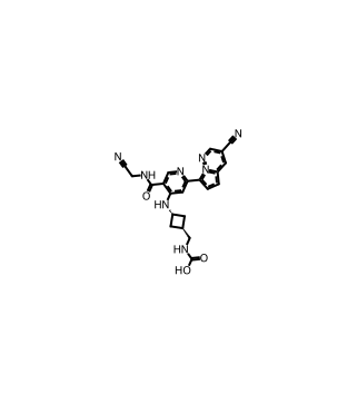 N#CCNC(=O)c1cnc(-c2ccc3cc(C#N)cnn23)cc1N[C@H]1C[C@H](CNC(=O)O)C1